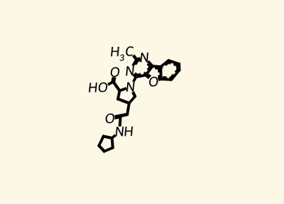 Cc1nc(N2CC(CC(=O)NC3CCCC3)CC2C(=O)O)c2oc3ccccc3c2n1